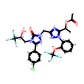 CC(=O)OC(C)c1nc(Cn2nc(-c3ccc(Cl)cc3)n(C[C@H](O)C(F)(F)F)c2=O)nn1-c1ccccc1OC(F)(F)F